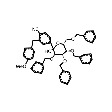 COc1ccc(Cc2cc([C@]3(O)O[C@H](COCc4ccccc4)[C@@H](OCc4ccccc4)[C@H](OCc4ccccc4)[C@H]3OCc3ccccc3)ccc2C#N)cc1